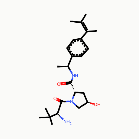 CC(C)=C(C)c1ccc([C@H](C)NC(=O)[C@@H]2C[C@@H](O)CN2C(=O)[C@@H](N)C(C)(C)C)cc1